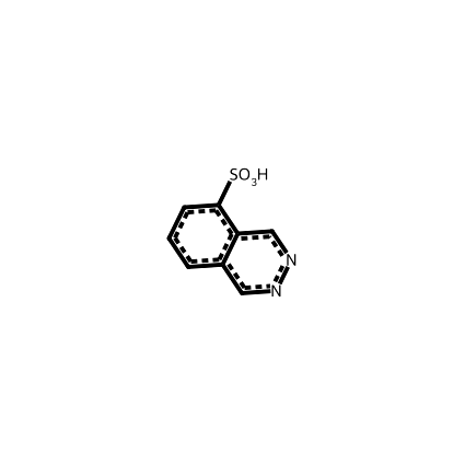 O=S(=O)(O)c1cccc2cnncc12